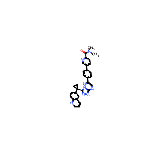 CN(C)C(=O)c1ccc(-c2ccc(-c3cnc4nnc(C5(c6ccc7ncccc7c6)CC5)n4n3)cc2)cn1